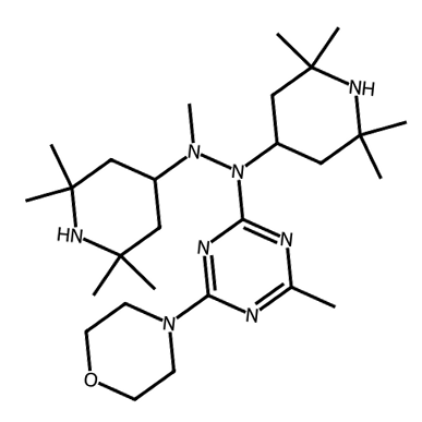 Cc1nc(N2CCOCC2)nc(N(C2CC(C)(C)NC(C)(C)C2)N(C)C2CC(C)(C)NC(C)(C)C2)n1